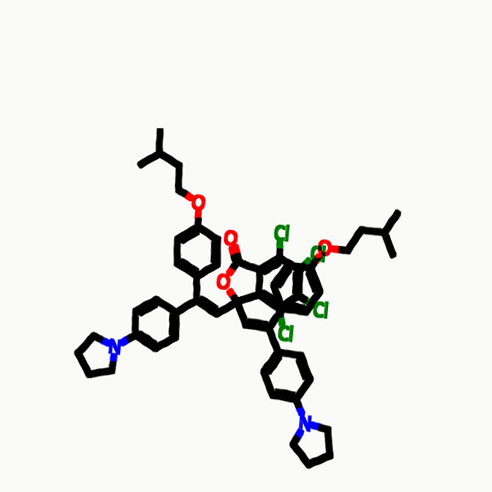 CC(C)CCOc1ccc(/C(=C\C2(/C=C(\c3ccc(OCCC(C)C)cc3)c3ccc(N4CCCC4)cc3)OC(=O)c3c(Cl)c(Cl)c(Cl)c(Cl)c32)c2ccc(N3CCCC3)cc2)cc1